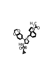 CC(=O)n1ccc2c(CN3CC[C@H](NS(=O)(=O)C4CC4)[C@H]3c3ccc4c(c3)OCCO4)cccc21